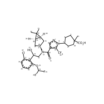 CC1(C(=O)O)CCC(n2ncc(C(=O)N(CC(O)c3c(Cl)cccc3OC(F)F)[C@H]3C[C@@H]4[C@H](C3)C4(C)C)c2C(F)(F)F)CC1